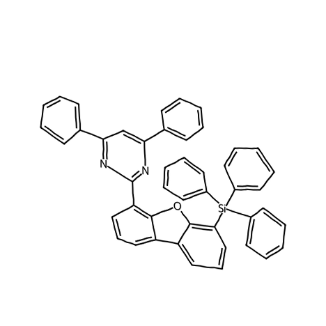 c1ccc(-c2cc(-c3ccccc3)nc(-c3cccc4c3oc3c([Si](c5ccccc5)(c5ccccc5)c5ccccc5)cccc34)n2)cc1